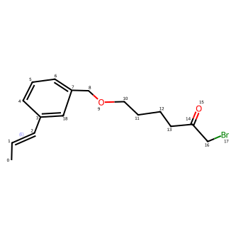 C/C=C/c1cccc(COCCCCC(=O)CBr)c1